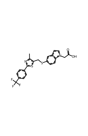 Cc1nc(-c2ccc(C(F)(F)F)cc2)sc1CSc1ccc2c(ccn2CC(=O)O)c1